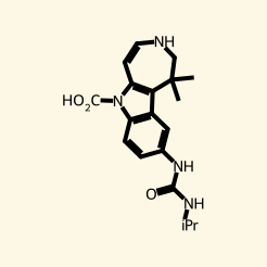 CC(C)NC(=O)Nc1ccc2c(c1)c1c(n2C(=O)O)C=CNCC1(C)C